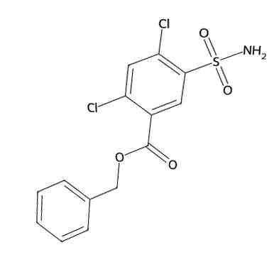 NS(=O)(=O)c1cc(C(=O)OCc2ccccc2)c(Cl)cc1Cl